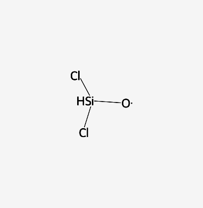 [O][SiH](Cl)Cl